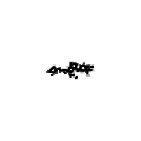 Cc1[nH]c2ccc(Oc3ccnc4cc(OCCCN5CCN(C)CC5)c(N)cc34)cc2c1C